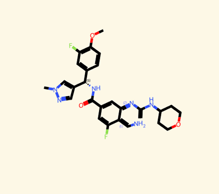 C=C(/N=C1/C=C(C(=O)N[C@@H](c2ccc(OC)c(F)c2)c2cnn(C)c2)C=C(F)/C1=C/N)NC1CCOCC1